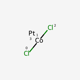 [Cl][Co][Cl].[Pt]